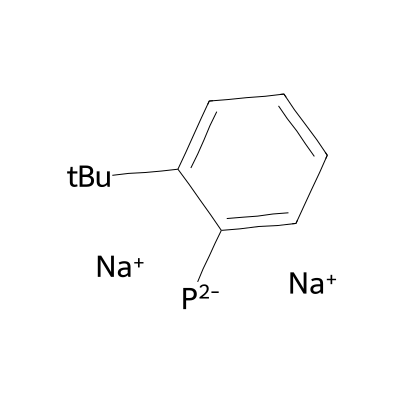 CC(C)(C)c1ccccc1[P-2].[Na+].[Na+]